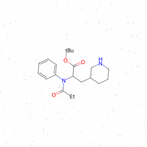 CCC(=O)N(c1ccccc1)C(CC1CCCNC1)C(=O)OC(C)(C)C